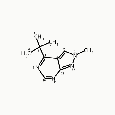 Cn1cc2c(C(C)(C)C)ncnc2n1